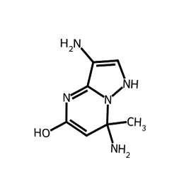 CC1(N)C=C(O)N=C2C(N)=CNN21